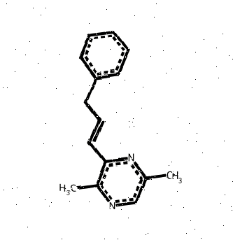 Cc1cnc(C)c(C=CCc2ccccc2)n1